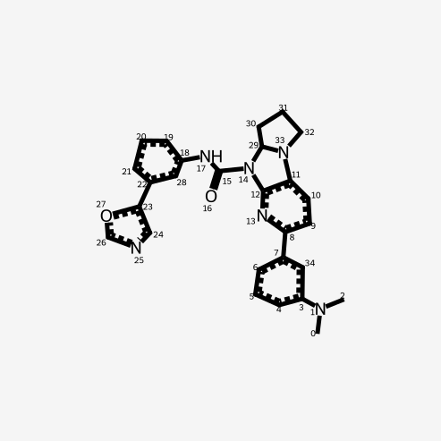 CN(C)c1cccc(-c2ccc3c(n2)N(C(=O)Nc2cccc(-c4cnco4)c2)C2CCCN32)c1